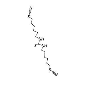 N#CSCCCCCCNC(=S)NCCCCCCSC#N